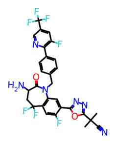 CC(C)(C#N)c1nnc(-c2cc3c(cc2F)C(F)(F)CC(N)C(=O)N3Cc2ccc(-c3ncc(C(F)(F)F)cc3F)cc2)o1